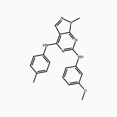 COc1cccc(Nc2nc(Nc3ccc(C)cc3)c3cnn(C)c3n2)c1